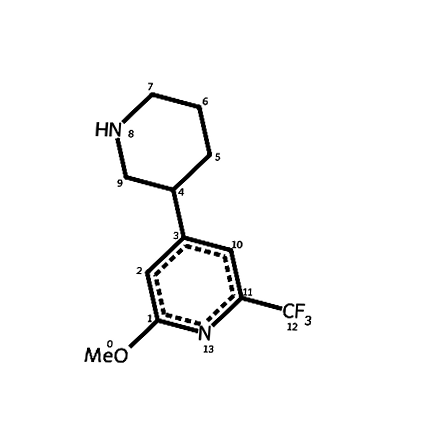 COc1cc(C2CCCNC2)cc(C(F)(F)F)n1